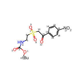 CC(C)(C)OC(=O)NCCS(=O)(=O)CC(=O)c1ccc([N+](=O)[O-])cc1